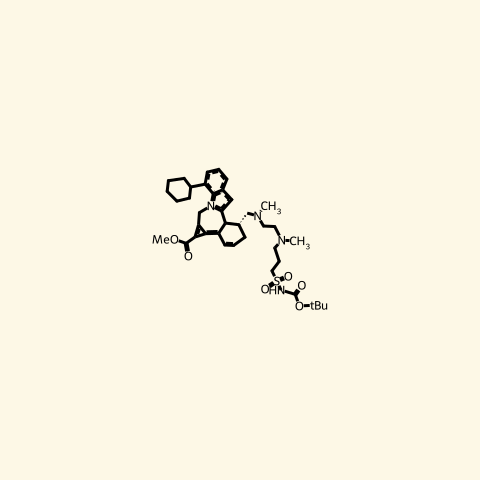 COC(=O)C1=C2Cn3c(cc4cccc(C5CCCCC5)c43)C3C(=C21)C=CC[C@H]3CN(C)CCN(C)CCCS(=O)(=O)NC(=O)OC(C)(C)C